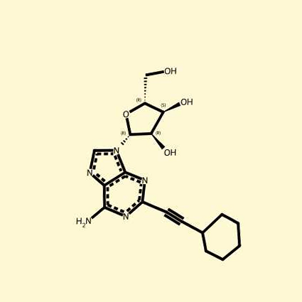 Nc1nc(C#CC2CCCCC2)nc2c1ncn2[C@@H]1O[C@H](CO)[C@@H](O)[C@H]1O